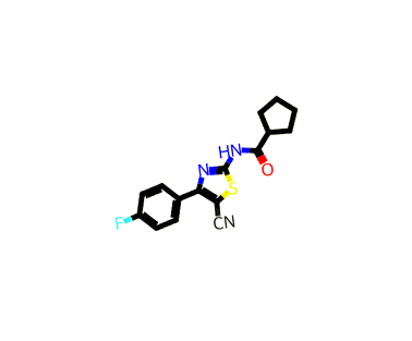 N#Cc1sc(NC(=O)C2CCCC2)nc1-c1ccc(F)cc1